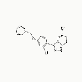 Clc1cc(OCc2ccccc2)ccc1-c1nnc2ccc(Br)cn12